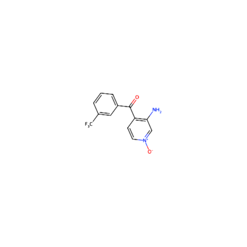 Nc1c[n+]([O-])ccc1C(=O)c1cccc(C(F)(F)F)c1